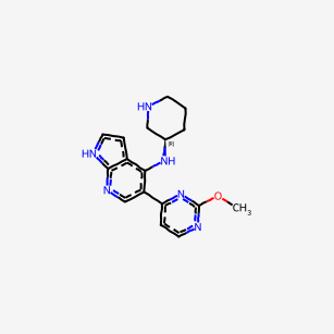 COc1nccc(-c2cnc3[nH]ccc3c2N[C@@H]2CCCNC2)n1